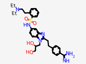 CCN(CC)CCc1ccccc1S(=O)(=O)Nc1ccc2c(c1)nc(CCc1ccc(C(=N)N)cc1)n2CC(O)CO